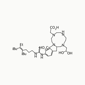 CC/C(=C(\CCCNC(=S)Nc1ccc(CC2CN(CC(O)O)CCNCCN(CC(=O)O)CCN2CC(=O)O)cc1)C(C)CC)C(C)CC